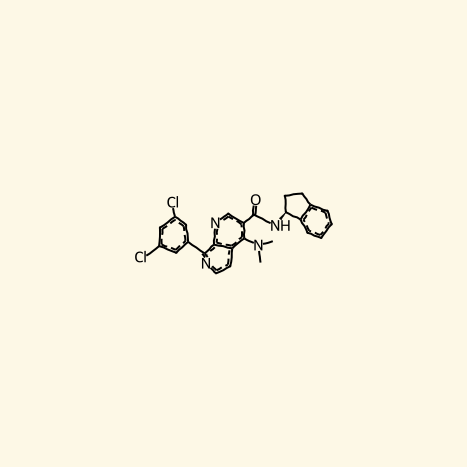 CN(C)c1c(C(=O)N[C@H]2CCc3ccccc32)cnc2c(-c3cc(Cl)cc(Cl)c3)nccc12